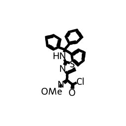 CON=C(C(=O)Cl)c1csc(NC(c2ccccc2)(c2ccccc2)c2ccccc2)n1